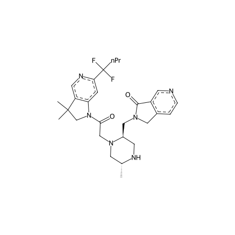 CCCC(F)(F)c1cc2c(cn1)C(C)(C)CN2C(=O)CN1C[C@@H](C)NC[C@@H]1CN1Cc2ccncc2C1=O